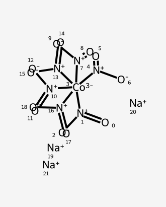 O=[N+]([O-])[Co-3]([N+](=O)[O-])([N+](=O)[O-])([N+](=O)[O-])([N+](=O)[O-])[N+](=O)[O-].[Na+].[Na+].[Na+]